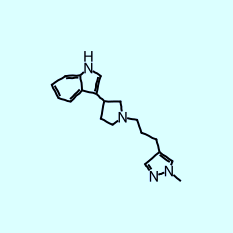 Cn1cc(CCCN2CCC(c3c[nH]c4ccccc34)C2)cn1